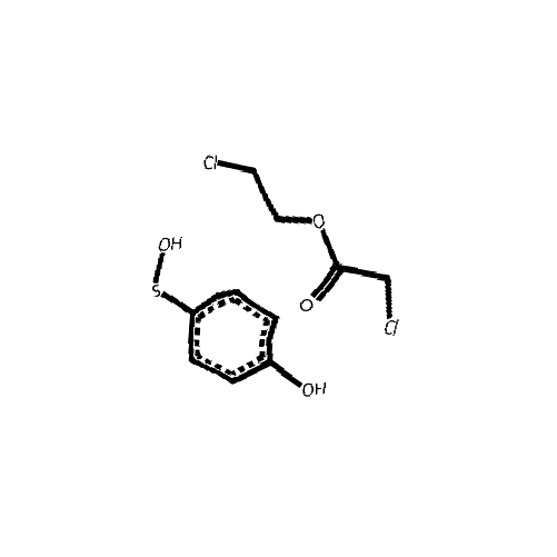 O=C(CCl)OCCCl.OSc1ccc(O)cc1